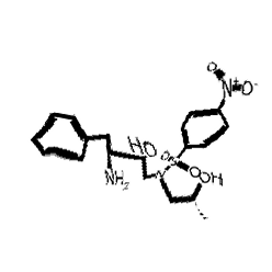 C[C@@H](O)CN(C[C@@H](O)[C@@H](N)Cc1ccccc1)S(=O)(=O)c1ccc([N+](=O)[O-])cc1